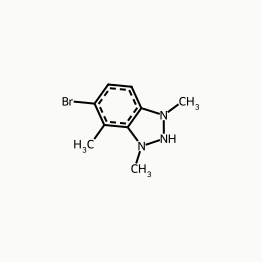 Cc1c(Br)ccc2c1N(C)NN2C